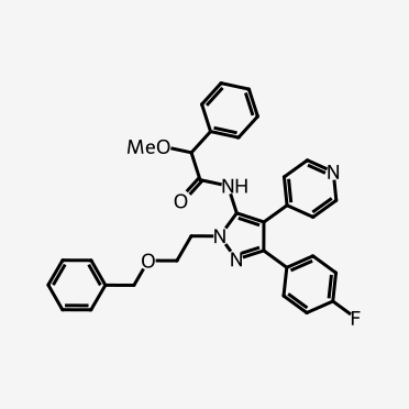 COC(C(=O)Nc1c(-c2ccncc2)c(-c2ccc(F)cc2)nn1CCOCc1ccccc1)c1ccccc1